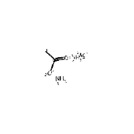 CC(=O)[O-].N.N.[Ag+]